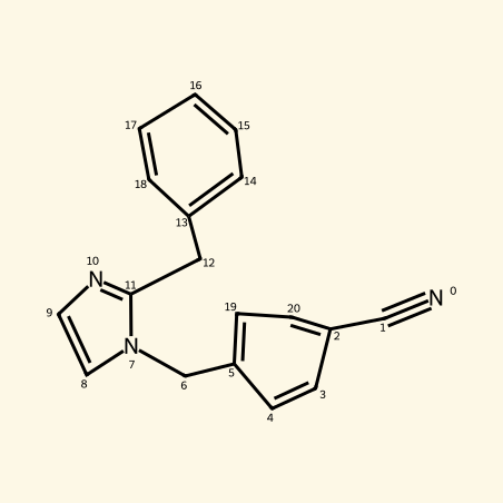 N#Cc1ccc(Cn2ccnc2Cc2ccccc2)cc1